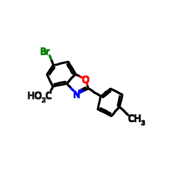 Cc1ccc(-c2nc3c(C(=O)O)cc(Br)cc3o2)cc1